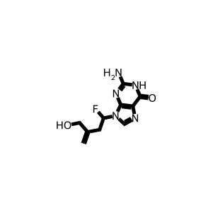 C=C(CO)CC(F)n1cnc2c(=O)[nH]c(N)nc21